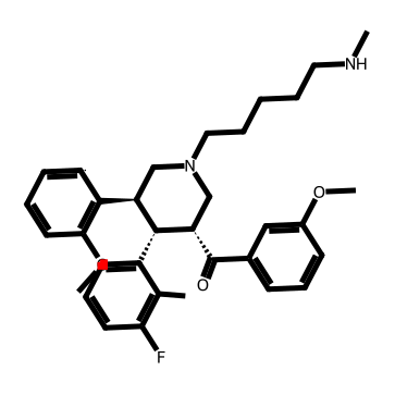 CNCCCCCN1C[C@H](C(=O)c2cccc(OC)c2)[C@H](c2cccc(F)c2C)[C@@H](c2[c]cccc2OC)C1